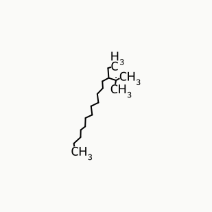 CCCCCCCCCCCCC(CC)[C](C)C